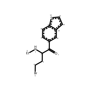 CCNC(CCBr)C(=O)c1ccc2sccc2c1